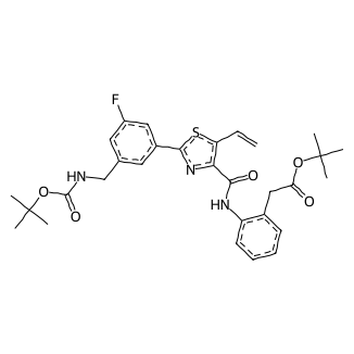 C=Cc1sc(-c2cc(F)cc(CNC(=O)OC(C)(C)C)c2)nc1C(=O)Nc1ccccc1CC(=O)OC(C)(C)C